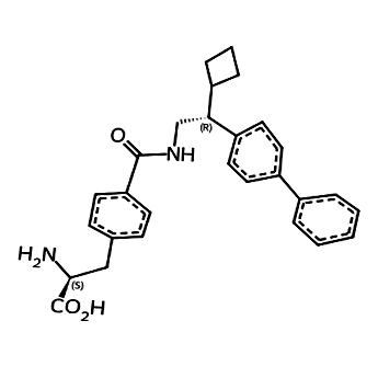 N[C@@H](Cc1ccc(C(=O)NC[C@@H](c2ccc(-c3ccccc3)cc2)C2CCC2)cc1)C(=O)O